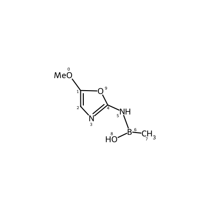 COc1cnc(NB(C)O)o1